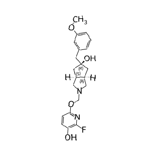 COc1cccc(C[C@]2(O)C[C@H]3CN(COc4ccc(O)c(F)n4)C[C@H]3C2)c1